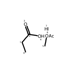 CCC(=O)O.COC(C)=O.I